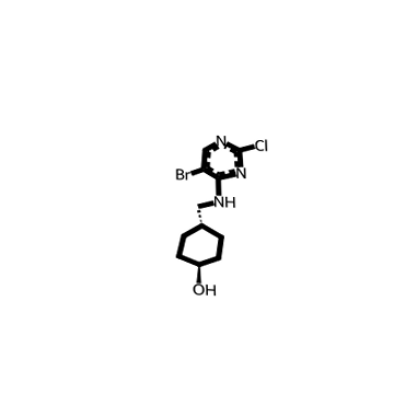 O[C@H]1CC[C@H](CNc2nc(Cl)ncc2Br)CC1